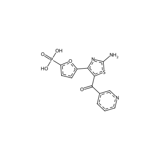 Nc1nc(-c2ccc(P(=O)(O)O)o2)c(C(=O)c2cccnc2)s1